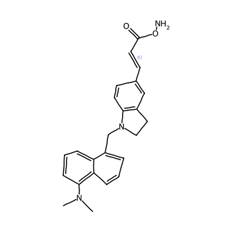 CN(C)c1cccc2c(CN3CCc4cc(/C=C/C(=O)ON)ccc43)cccc12